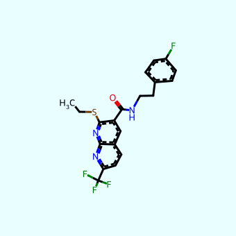 CCSc1nc2nc(C(F)(F)F)ccc2cc1C(=O)NCCc1ccc(F)cc1